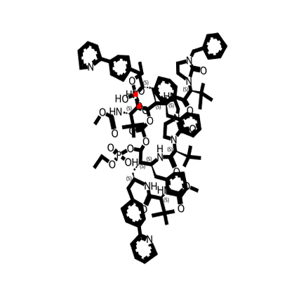 CCOP(=O)(O)OC(OC(=O)OC(OP(=O)(O)OCC)[C@@H](C[C@@H](Cc1ccc(-c2ccccn2)cc1)NC(=O)[C@@H](NC(=O)OC)C(C)(C)C)[C@H](Cc1ccccc1)NC(=O)[C@@H](N1CCN(Cc2ccccc2)C1=O)C(C)(C)C)[C@@H](C[C@@H](Cc1ccc(-c2ccccn2)cc1)NC(=O)[C@@H](NC(=O)OC)C(C)(C)C)[C@H](Cc1ccccc1)NC(=O)[C@@H](N1CCN(Cc2ccccc2)C1=O)C(C)(C)C